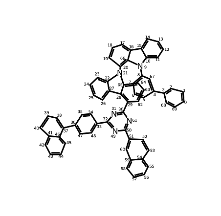 c1ccc(-c2cccc(-n3c4ccccc4c4cccc(-n5c6ccccc6c6c(-c7nc(-c8ccc(-c9cccc%10ccccc9%10)cc8)nc(-c8ccc9ccccc9c8)n7)cccc65)c43)c2)cc1